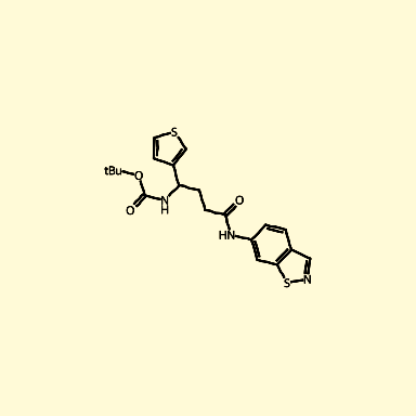 CC(C)(C)OC(=O)NC(CCC(=O)Nc1ccc2cnsc2c1)c1ccsc1